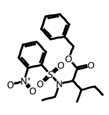 CCC(C)C(C(=O)OCc1ccccc1)N(CC)S(=O)(=O)c1ccccc1[N+](=O)[O-]